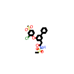 CCS(=O)(=O)NC(=O)Cc1cc(Oc2ccc(S(C)(=O)=O)cc2Cl)cc(-c2ccccc2)c1